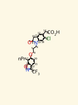 CCCc1c(OCCCN2C(=O)Cc3cc(CC(=O)O)c(Cl)cc32)ccc2c(C(F)(F)F)noc12